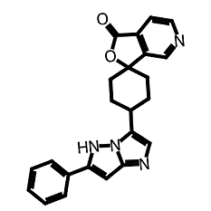 O=C1OC2(CCC(c3cnc4cc(-c5ccccc5)[nH]n34)CC2)c2cnccc21